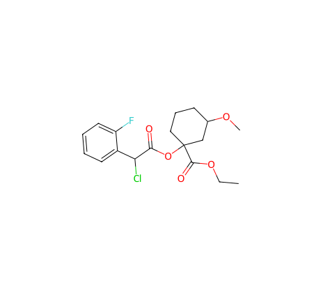 CCOC(=O)C1(OC(=O)C(Cl)c2ccccc2F)CCCC(OC)C1